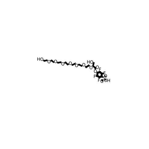 O=C(Oc1c(F)c(F)c(S(=O)(=O)O)c(F)c1F)C(CO)OCCOCCOCCOCCOCCOCCOCCO